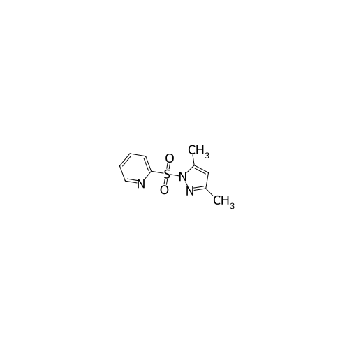 Cc1cc(C)n(S(=O)(=O)c2ccccn2)n1